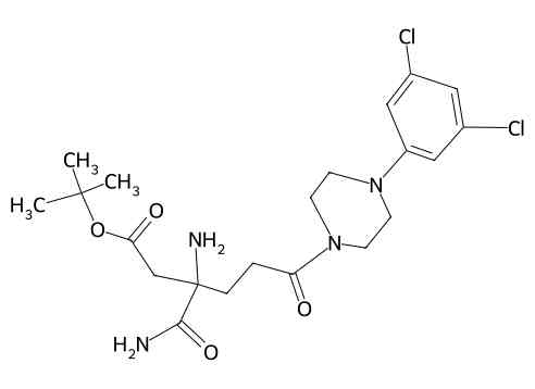 CC(C)(C)OC(=O)CC(N)(CCC(=O)N1CCN(c2cc(Cl)cc(Cl)c2)CC1)C(N)=O